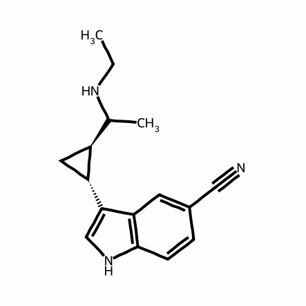 CCNC(C)[C@@H]1C[C@H]1c1c[nH]c2ccc(C#N)cc12